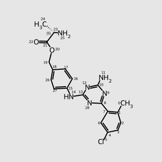 Cc1ccc(Cl)cc1-c1nc(N)nc(Nc2ccc(COC(=O)[C@H](C)N)cc2)n1